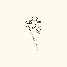 CCCCCCCCCCCCCCC(C)C(=O)N[C@H]1CCCC[C@H]1C(CNC(=O)C1OC(C)(C)OCC1(C)C)C(=O)O